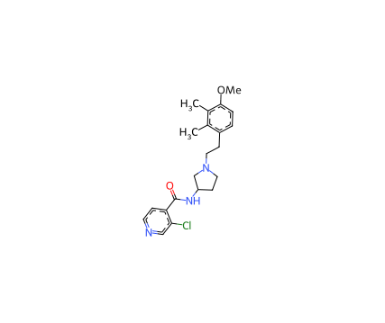 COc1ccc(CCN2CCC(NC(=O)c3ccncc3Cl)C2)c(C)c1C